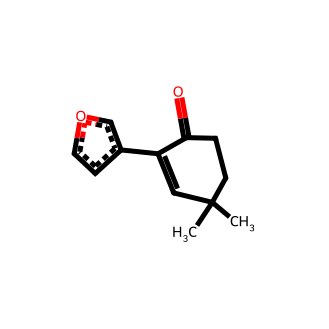 CC1(C)C=C(c2ccoc2)C(=O)CC1